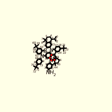 CC(C)C1CCC(C)(C)c2cc3c(cc21)N(c1ccc(C(C)(C)C)cc1-c1ccccc1)c1cc(N2c4ccc(N)cc4C4(C)CCCC24C)cc2c1B3c1cc(C(C)(C)C)ccc1N2c1ccc(C(C)(C)C)cc1